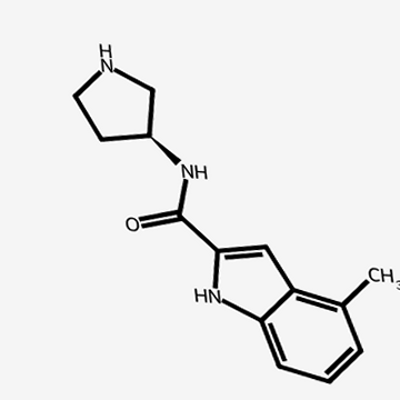 Cc1cccc2[nH]c(C(=O)N[C@H]3CCNC3)cc12